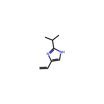 C=Cc1c[nH]c(C(C)C)n1